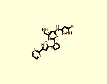 CCc1cc(Nc2cc(CN)nc(N3CCC[C@H]3c3cc(-c4ncccn4)no3)n2)n[nH]1